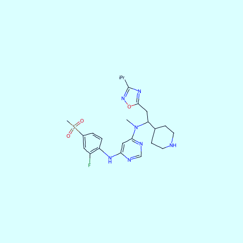 CC(C)c1noc(CC(C2CCNCC2)N(C)c2cc(Nc3ccc(S(C)(=O)=O)cc3F)ncn2)n1